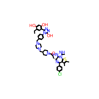 CCc1cc(-c2nnc(O)n2-c2ccc(CN3CCN(CC4CCN(C5OC5C[C@H]5N=C(c6ccc(Cl)cc6)c6c(sc(C)c6C)N(C(C)=N)C5=N)CC4)CC3)cc2)c(O)cc1O